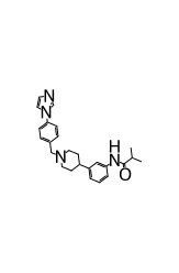 CC(C)C(=O)Nc1cccc(C2CCN(Cc3ccc(-n4ccnc4)cc3)CC2)c1